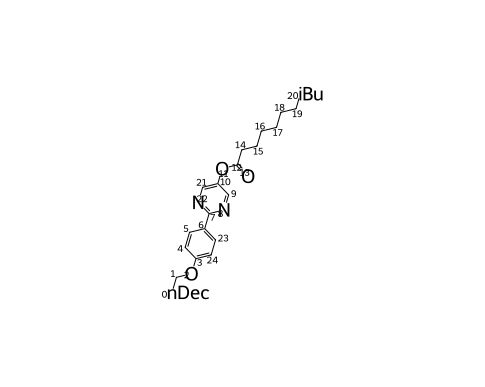 CCCCCCCCCCCOc1ccc(-c2ncc(OC(=O)CCCCCCC(C)CC)cn2)cc1